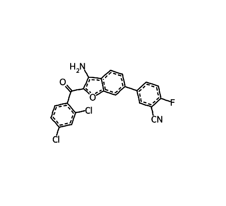 N#Cc1cc(-c2ccc3c(N)c(C(=O)c4ccc(Cl)cc4Cl)oc3c2)ccc1F